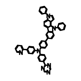 c1ccc(-n2ccc3c2ccc2c4cc(-c5ccc(N(c6ccc(-c7ccccn7)cc6)c6ccc(-c7ncncn7)cc6)cc5)ccc4n(-c4ccccc4)c23)cc1